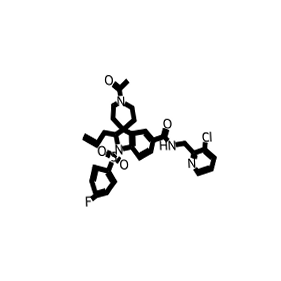 C=CCC1N(S(=O)(=O)c2ccc(F)cc2)c2ccc(C(=O)NCc3ncccc3Cl)cc2C12CCN(C(C)=O)CC2